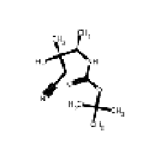 C[C@@H](NC(=O)OC(C)(C)C)[C@@](C)(O)CC#N